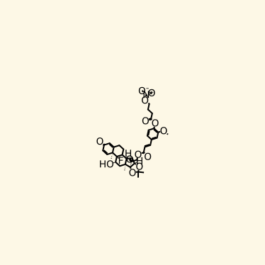 COc1cc(/C=C/C(=O)OCC(=O)[C@@]23OC(C)(C)O[C@@H]2C[C@H]2C4CCC5=CC(=O)C=C[C@]5(C)[C@@]4(F)[C@@H](O)C[C@@]23C)ccc1OC(=O)CCCO[N+](=O)[O-]